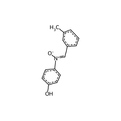 Cc1cccc(C=[N+]([O-])c2ccc(O)cc2)c1